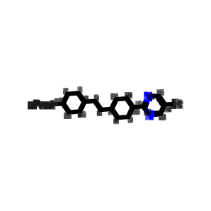 CCCCCC1CCC(CCC2CCC(c3ncc(CC)cn3)CC2)CC1